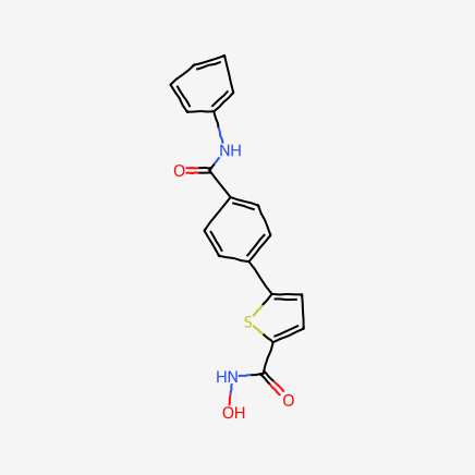 O=C(Nc1ccccc1)c1ccc(-c2ccc(C(=O)NO)s2)cc1